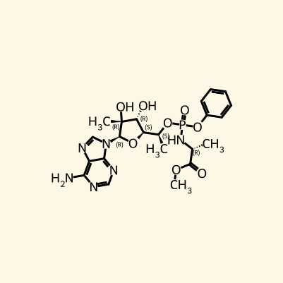 COC(=O)[C@@H](C)NP(=O)(Oc1ccccc1)O[C@@H](C)[C@H]1O[C@@H](n2cnc3c(N)ncnc32)[C@](C)(O)[C@@H]1O